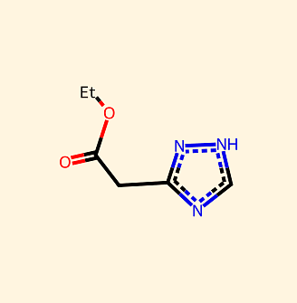 CCOC(=O)Cc1nc[nH]n1